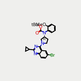 COc1ccccc1N(C(=O)OC(C)(C)C)[C@@H]1CCN(c2nc(C3CC3)nc3ccc(Br)cc23)C1